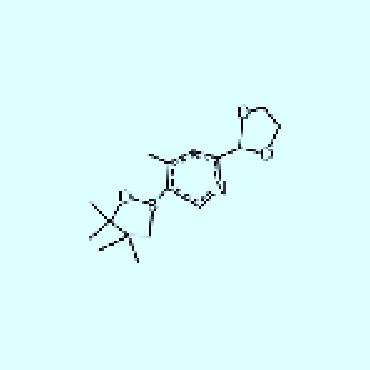 Cc1cc(C2OCCO2)ncc1B1CC(C)(C)C(C)(C)O1